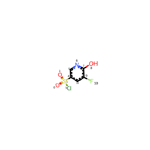 O=S(=O)(Cl)c1cnc(O)c(F)c1